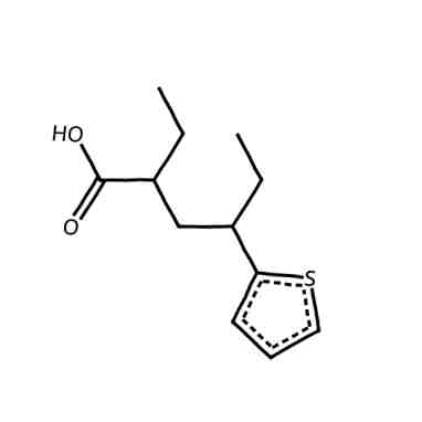 CCC(CC(CC)c1cccs1)C(=O)O